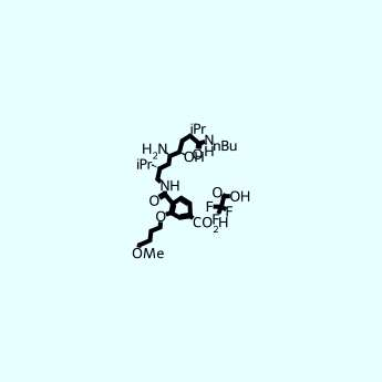 CCCCNC(=O)[C@@H](C[C@H](O)[C@@H](N)C[C@H](CNC(=O)c1ccc(C(=O)O)cc1OCCCCOC)C(C)C)C(C)C.O=C(O)C(F)(F)F